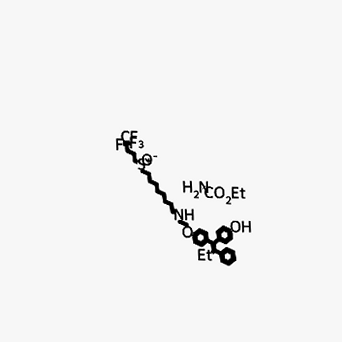 CC/C(=C(/c1ccc(O)cc1)c1ccc(OCCNCCCCCCCCC[S+]([O-])CCCC(F)(F)C(F)(F)F)cc1)c1ccccc1.CCOC(N)=O